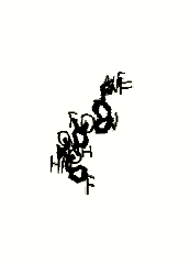 O=C(Nc1ccc(F)cc1)C1(C(=O)Nc2ccc(Oc3ccnc4cc(-c5cnn(C(F)F)c5)ccc34)c(F)c2)CC1